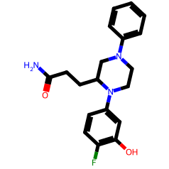 NC(=O)CCC1CN(c2ccccc2)CCN1c1ccc(F)c(O)c1